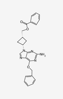 Nc1nc(OCc2ccccc2)c2ncn([C@H]3C[C@@H](COC(=O)c4ccccc4)C3)c2n1